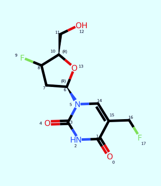 O=c1[nH]c(=O)n([C@H]2CC(F)[C@@H](CO)O2)cc1CF